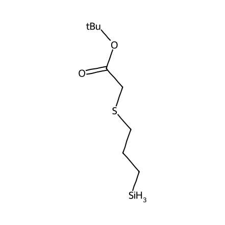 CC(C)(C)OC(=O)CSCCC[SiH3]